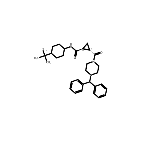 CC(C)(C)C1CCC(NC(=O)[C@H]2C[C@@H]2C(=O)N2CCN(C(c3ccccc3)c3ccccc3)CC2)CC1